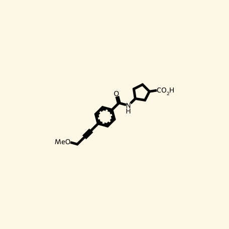 COCC#Cc1ccc(C(=O)NC2CCC(C(=O)O)C2)cc1